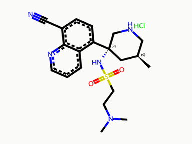 C[C@@H]1CNC[C@](NS(=O)(=O)CCN(C)C)(c2ccc(C#N)c3ncccc23)C1.Cl